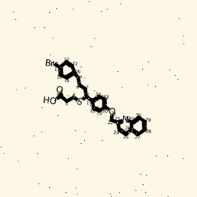 O=C(O)CCSC(CCCc1ccc(Br)cc1)c1ccc(OCc2ccc3ccccc3n2)cc1